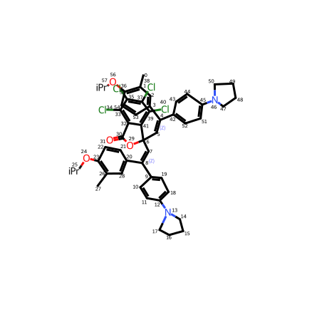 Cc1cc(/C(=C\C2(/C=C(/c3ccc(N4CCCC4)cc3)c3ccc(OC(C)C)c(C)c3)OC(=O)c3c(Cl)c(Cl)c(Cl)c(Cl)c32)c2ccc(N3CCCC3)cc2)ccc1OC(C)C